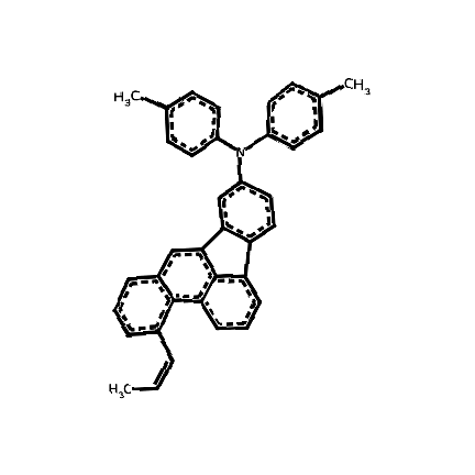 C/C=C\c1cccc2cc3c4c(cccc4c12)-c1ccc(N(c2ccc(C)cc2)c2ccc(C)cc2)cc1-3